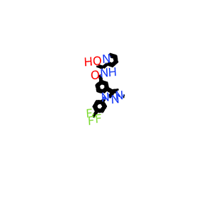 Cn1cc2c3cc(C(=O)NC(CO)c4ccccn4)ccc3n(-c3ccc(C(F)(F)F)cc3)c2n1